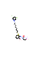 O=C1CCC(N2Cc3c(SCCCCCCCCNc4cc(F)cc(F)c4)cccc3C2=O)C(=O)N1